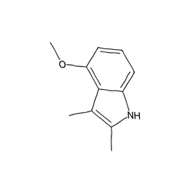 COc1cccc2[nH]c(C)c(C)c12